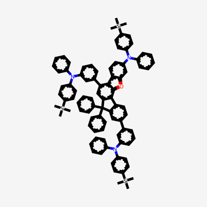 C[Si](C)(C)c1ccc(N(c2ccccc2)c2cccc(-c3ccc4c(c3)C(c3ccccc3)(c3ccccc3)c3cc(-c5cccc(N(c6ccccc6)c6ccc([Si](C)(C)C)cc6)c5)c5c(oc6cc(N(c7ccccc7)c7ccc([Si](C)(C)C)cc7)ccc65)c3-4)c2)cc1